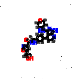 C[C@@H](NC(=O)c1cc(C(C)(C)O)on1)c1ccc(-c2ccnc3[nH]nc(NC4CCOCC4)c23)cc1